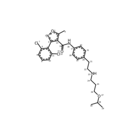 Cc1onc(-c2c(Cl)cccc2Cl)c1C(=O)Nc1ccc(CCNCCCOC(C)C)cc1